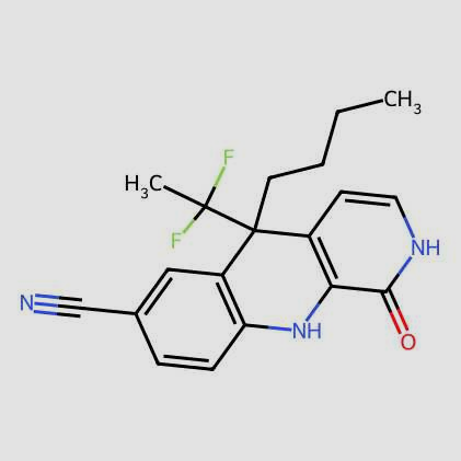 CCCCC1(C(C)(F)F)c2cc(C#N)ccc2Nc2c1cc[nH]c2=O